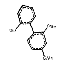 COc1ccc(-c2ccccc2C(C)(C)C)c(OC)c1